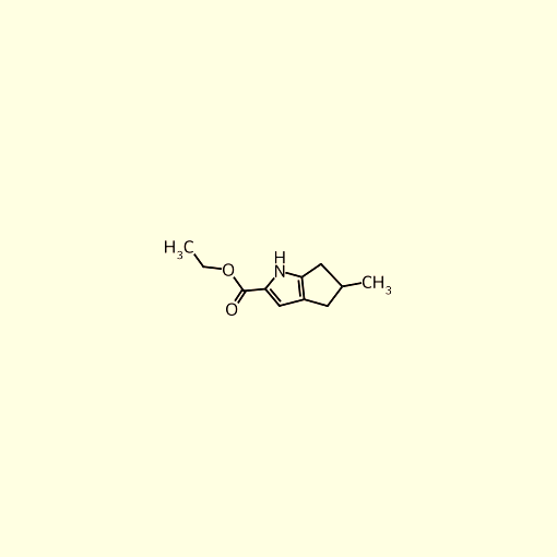 CCOC(=O)c1cc2c([nH]1)CC(C)C2